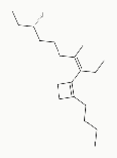 CC/C(C1=C(CCCI)CC1)=C(\C)CCC[C@@H](I)CC